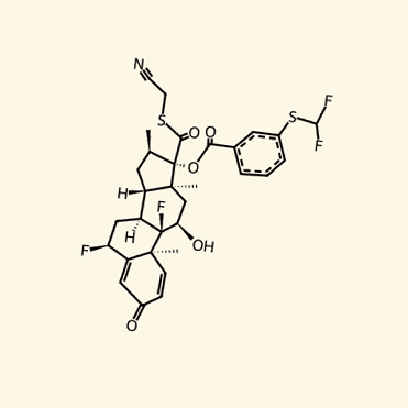 C[C@@H]1C[C@H]2[C@@H]3C[C@H](F)C4=CC(=O)C=C[C@]4(C)[C@@]3(F)[C@H](O)C[C@]2(C)[C@]1(OC(=O)c1cccc(SC(F)F)c1)C(=O)SCC#N